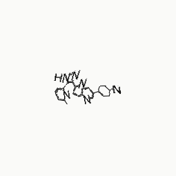 Cc1cccc(-c2[nH]cnc2-c2ccc3ncc(C4=CCC(N(C)C)CC4)cc3n2)n1